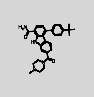 CN1CCN(C(=O)c2ccc3c(c2)[nH]c2c(C(N)=O)ccc(-c4ccc(C(C)(C)C)cc4)c23)CC1